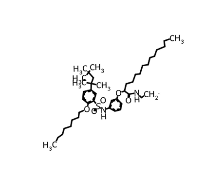 [CH2]CNC(=O)C(CCCCCCCCCCCC)Oc1cccc(NS(=O)(=O)c2cc(C(C)(C)CC(C)(C)C)ccc2OCCCCCCCC)c1